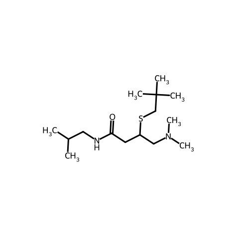 CC(C)CNC(=O)CC(CN(C)C)SCC(C)(C)C